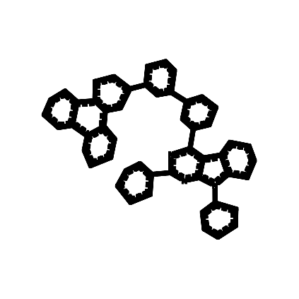 c1ccc(-c2nc(-c3cccc(-c4cccc(-c5ccc6c7ccccc7c7ccccc7c6c5)c4)c3)c3c4ccccc4n(-c4ccccc4)c3n2)cc1